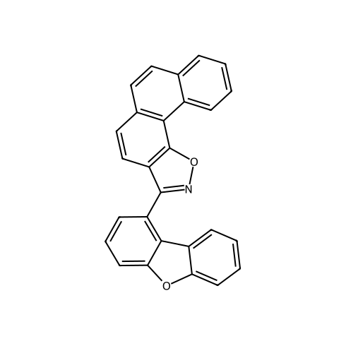 c1ccc2c(c1)ccc1ccc3c(-c4cccc5oc6ccccc6c45)noc3c12